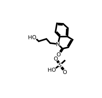 CS(=O)(=O)O.O=c1ccc2ccccc2n1CCCO